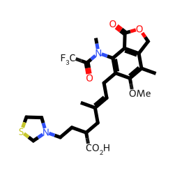 COc1c(C)c2c(c(N(C)C(=O)C(F)(F)F)c1C/C=C(\C)CC(CCN1CCSC1)C(=O)O)C(=O)OC2